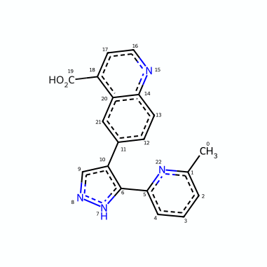 Cc1cccc(-c2[nH]ncc2-c2ccc3nccc(C(=O)O)c3c2)n1